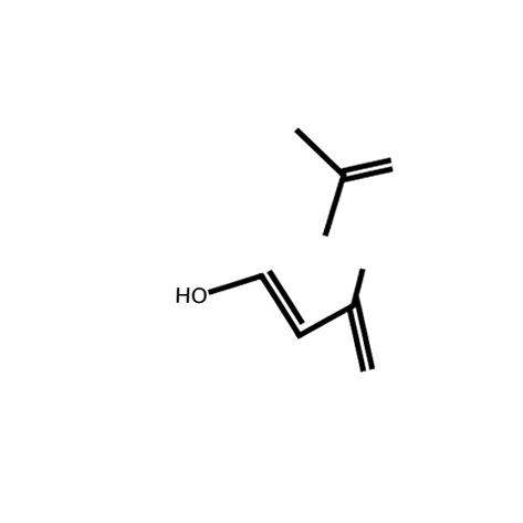 C=C(C)C.C=C(C)C=CO